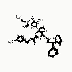 CCNC(=O)[C@H]1O[C@@H](n2cnc3c(NCC(c4ccccc4)c4ccccc4)nc(C(=O)NCc4cn(C)cn4)nc32)[C@H](O)[C@@H]1O